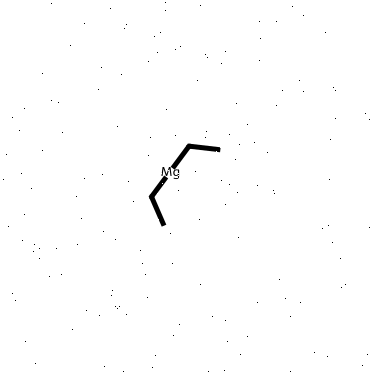 C[CH2][Mg][CH2]C